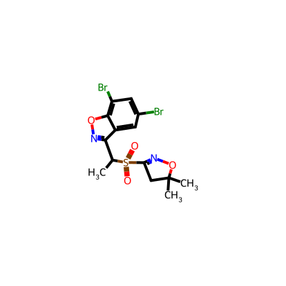 CC(c1noc2c(Br)cc(Br)cc12)S(=O)(=O)C1=NOC(C)(C)C1